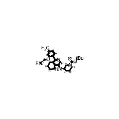 CCOCOc1cc(C(F)(F)F)ccc1-c1nnc(N[C@@H]2CCCN(C(=O)OC(C)(C)C)C2)c2c1CCCC2